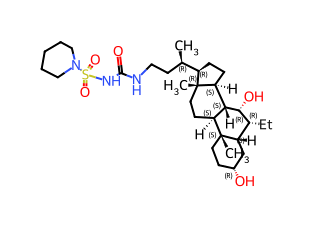 CC[C@H]1[C@@H](O)[C@@H]2[C@H](CC[C@]3(C)[C@@H]([C@H](C)CCNC(=O)NS(=O)(=O)N4CCCCC4)CC[C@@H]23)[C@@]2(C)CC[C@@H](O)C[C@@H]12